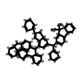 CC1(C)c2ccccc2-c2ccc(N(c3ccccc3)c3cc(N(c4ccc5oc6ccccc6c5c4)c4ccccc4-c4ccccc4)c4nc(-c5ccccc5)oc4c3)cc21